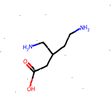 NCCC(CN)CC(=O)O